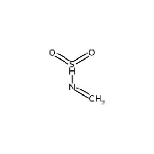 C=N[SH](=O)=O